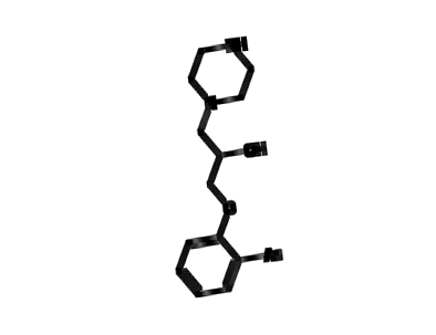 CC(=O)c1ccccc1OCC(O)CN1CCNCC1